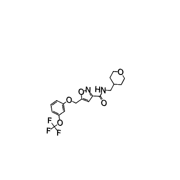 O=C(NCC1CCOCC1)c1cc(COc2cccc(OC(F)(F)F)c2)on1